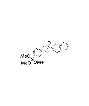 CO[Si](OC)(OC)c1ccc(CS(=O)(=O)c2ccc3ccccc3c2)cc1